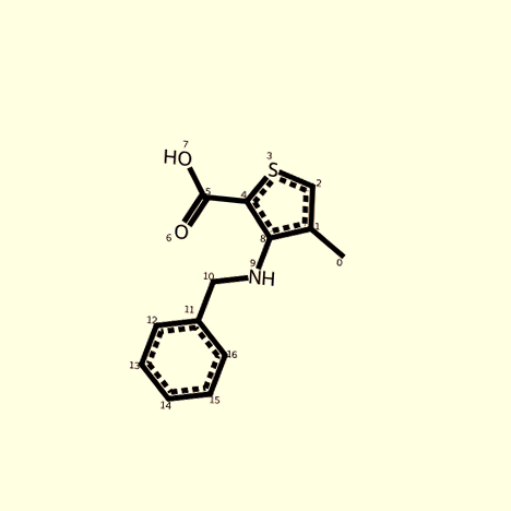 Cc1csc(C(=O)O)c1NCc1ccccc1